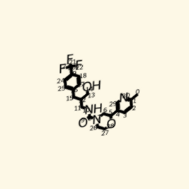 Cc1ccc(C2CN(C(=O)NCC(CO)Cc3ccc(C(F)(F)F)cc3)CCO2)cn1